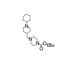 CC(C)(C)OC(=O)N1CCN(CC2CCN(C3CCCCC3)CC2)CC1